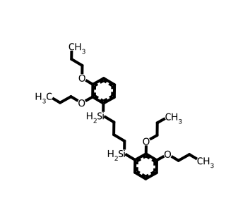 CCCOc1cccc([SiH2]CCC[SiH2]c2cccc(OCCC)c2OCCC)c1OCCC